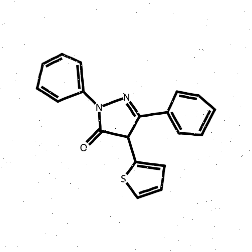 O=C1C(c2cccs2)C(c2ccccc2)=NN1c1ccccc1